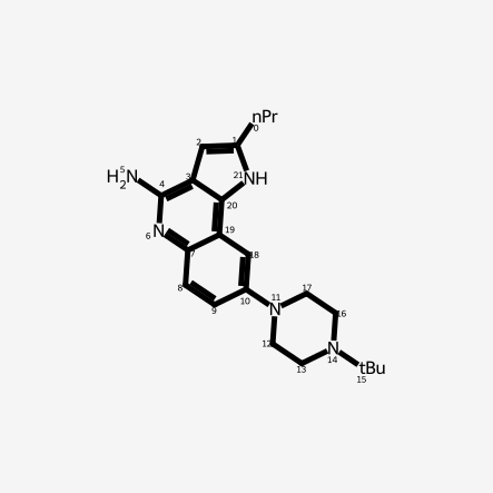 CCCc1cc2c(N)nc3ccc(N4CCN(C(C)(C)C)CC4)cc3c2[nH]1